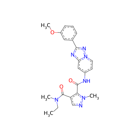 CCN(C)C(=O)c1cnn(C)c1C(=O)Nc1ccn2nc(-c3cccc(OC)c3)nc2c1